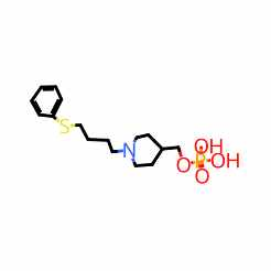 O=P(O)(O)OCC1CCN(CCCCSc2ccccc2)CC1